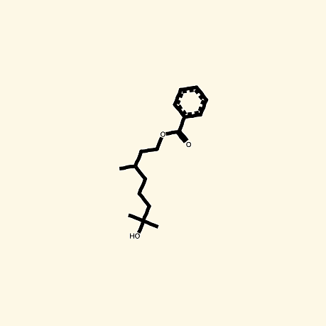 CC(CCCC(C)(C)O)CCOC(=O)c1ccccc1